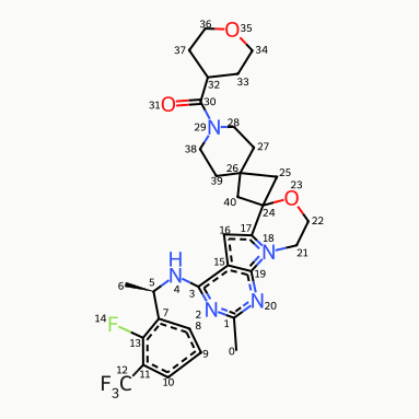 Cc1nc(N[C@H](C)c2cccc(C(F)(F)F)c2F)c2cc3n(c2n1)CCOC31CC2(CCN(C(=O)C3CCOCC3)CC2)C1